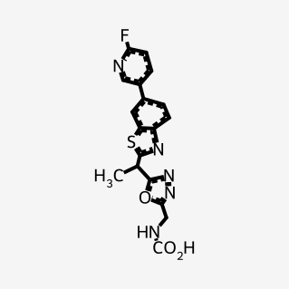 CC(c1nnc(CNC(=O)O)o1)c1nc2ccc(-c3ccc(F)nc3)cc2s1